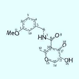 COc1cccc(CNC(=O)c2c(C)occ(O)c2=O)c1